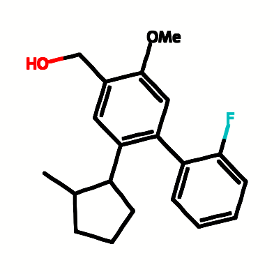 COc1cc(-c2ccccc2F)c(C2CCCC2C)cc1CO